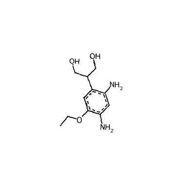 CCOc1cc(C(CO)CO)c(N)cc1N